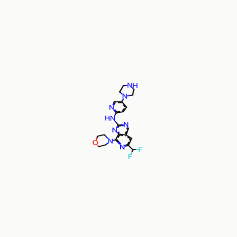 FC(F)c1cc2cnc(Nc3ccc(N4CCNCC4)cn3)nc2c(N2CCOCC2)n1